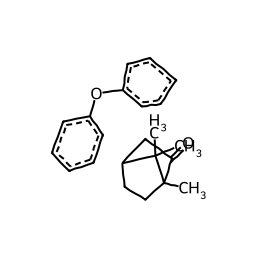 CC12CCC(CC1=O)C2(C)C.c1ccc(Oc2ccccc2)cc1